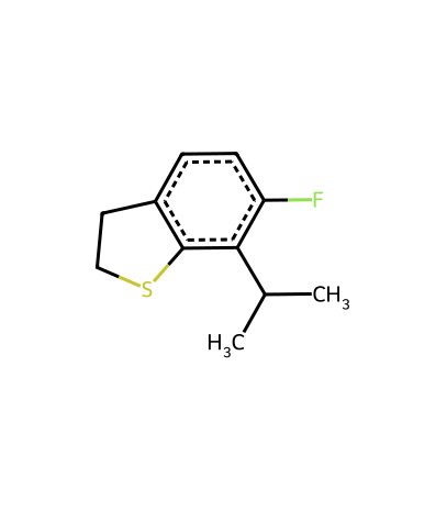 CC(C)c1c(F)ccc2c1SCC2